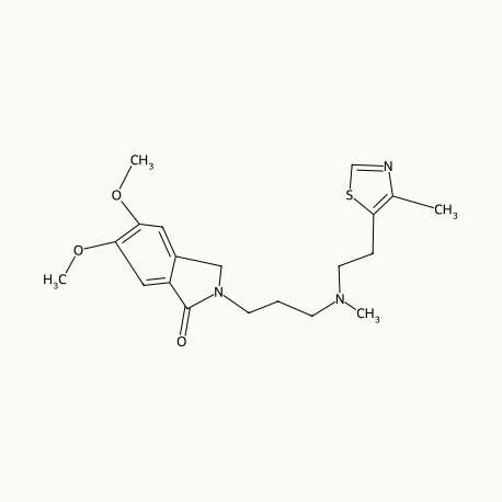 COc1cc2c(cc1OC)C(=O)N(CCCN(C)CCc1scnc1C)C2